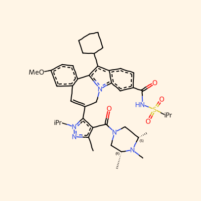 COc1ccc2c(c1)C=C(c1c(C(=O)N3C[C@@H](C)N(C)[C@@H](C)C3)c(C)nn1C(C)C)Cn1c-2c(C2CCCCC2)c2ccc(C(=O)NS(=O)(=O)C(C)C)cc21